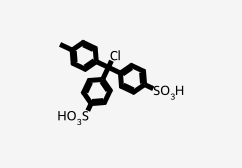 Cc1ccc(C(Cl)(c2ccc(S(=O)(=O)O)cc2)c2ccc(S(=O)(=O)O)cc2)cc1